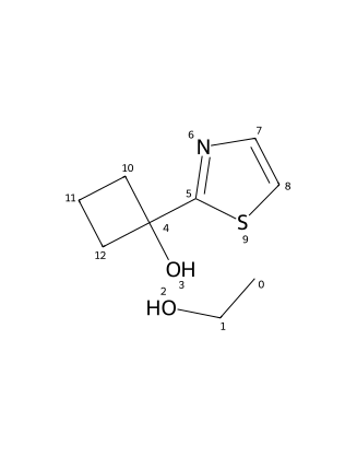 CCO.OC1(c2nccs2)CCC1